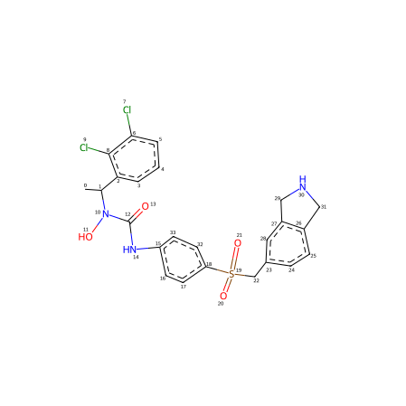 CC(c1cccc(Cl)c1Cl)N(O)C(=O)Nc1ccc(S(=O)(=O)Cc2ccc3c(c2)CNC3)cc1